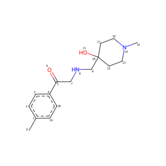 Cc1ccc(C(=O)CNCC2(O)CCN(C)CC2)cc1